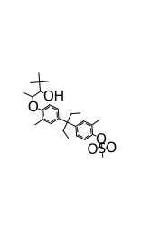 CCC(CC)(c1ccc(OC(C)C(O)C(C)(C)C)c(C)c1)c1ccc(OS(C)(=O)=O)c(C)c1